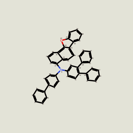 c1ccc(-c2ccc(N(c3ccc(-c4ccccc4)c(-c4ccccc4)c3)c3cccc4c3ccc3c5ccccc5oc43)cc2)cc1